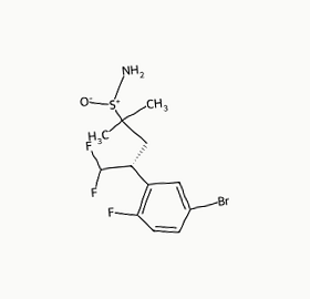 CC(C)(C[C@H](c1cc(Br)ccc1F)C(F)F)[S+](N)[O-]